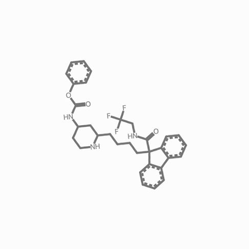 O=C(NC1CCNC(CCCCC2(C(=O)NCC(F)(F)F)c3ccccc3-c3ccccc32)C1)Oc1ccccc1